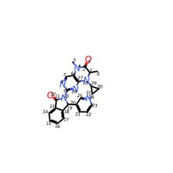 CC1C(=O)N(C)c2cnc(N3C(=O)c4ccccc4C3c3cccnc3)nc2N1C1CC1